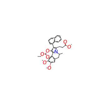 CCOC(=O)Oc1c(-c2cccc3ccccc23)c(CCC(=O)OC)n2c1-c1cc(OC)c(OC)cc1CC2C